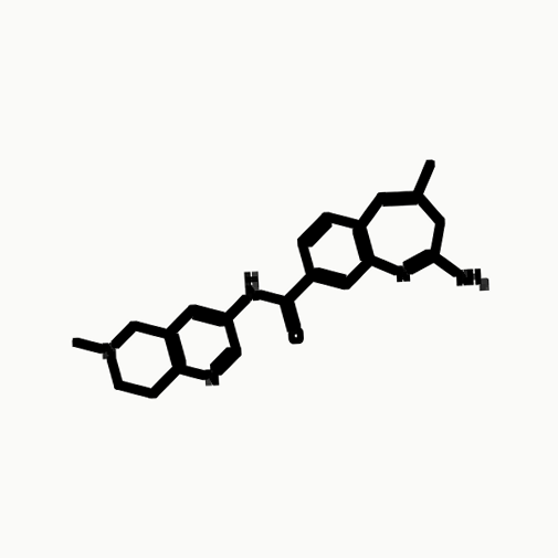 CC1=Cc2ccc(C(=O)Nc3cnc4c(c3)CN(C)CC4)cc2N=C(N)C1